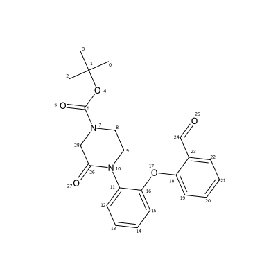 CC(C)(C)OC(=O)N1CCN(c2ccccc2Oc2ccccc2C=O)C(=O)C1